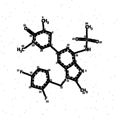 Cc1cc(-c2cc3c(nc(C)n3Cc3ccc(F)cc3F)c(NS(C)(=O)=O)n2)cn(C)c1=O